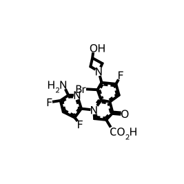 Nc1nc(-n2cc(C(=O)O)c(=O)c3cc(F)c(N4CC(O)C4)c(Br)c32)c(F)cc1F